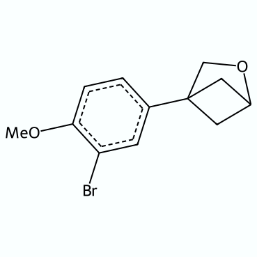 COc1ccc(C23COC(C2)C3)cc1Br